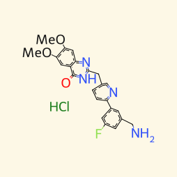 COc1cc2nc(Cc3ccc(-c4cc(F)cc(CN)c4)nc3)[nH]c(=O)c2cc1OC.Cl